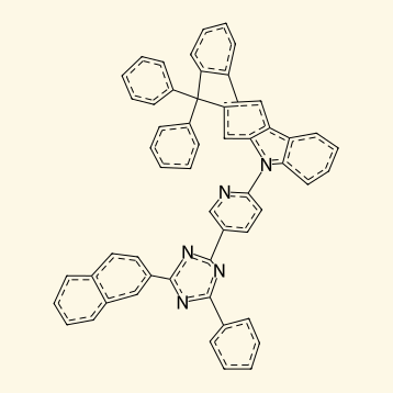 c1ccc(-c2nc(-c3ccc(-n4c5ccccc5c5cc6c(cc54)C(c4ccccc4)(c4ccccc4)c4ccccc4-6)nc3)nc(-c3ccc4ccccc4c3)n2)cc1